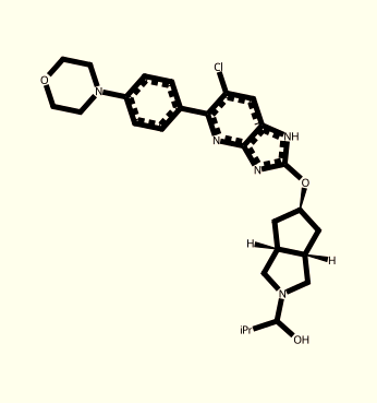 CC(C)C(O)N1C[C@H]2C[C@H](Oc3nc4nc(-c5ccc(N6CCOCC6)cc5)c(Cl)cc4[nH]3)C[C@H]2C1